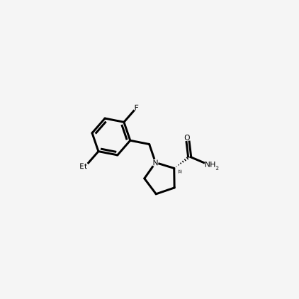 [CH2]Cc1ccc(F)c(CN2CCC[C@H]2C(N)=O)c1